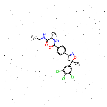 CC(NC(=O)c1ccc(C2=NOC(c3cc(Cl)c(Cl)c(Cl)c3)(C(F)(F)F)C2)cc1)C(=O)NCC(F)(F)F